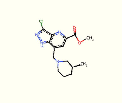 COC(=O)c1cc(CN2CCC[C@H](C)C2)c2[nH]nc(Cl)c2n1